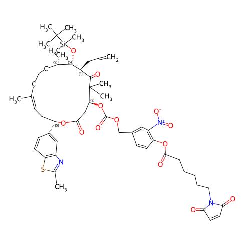 C=CC[C@H]1C(=O)C(C)(C)[C@@H](OC(=O)OCc2ccc(OC(=O)CCCCCN3C(=O)C=CC3=O)c([N+](=O)[O-])c2)CC(=O)O[C@H](c2ccc3sc(C)nc3c2)CC=C(C)CCC[C@H](C)[C@@H]1O[Si](C)(C)C(C)(C)C